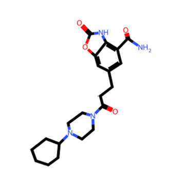 NC(=O)c1cc(C[CH]C(=O)N2CCN(C3CCCCC3)CC2)cc2oc(=O)[nH]c12